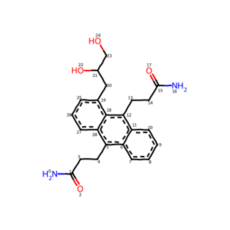 NC(=O)CCc1c2ccccc2c(CCC(N)=O)c2c(CC(O)CO)cccc12